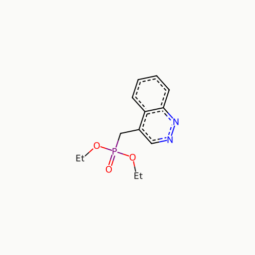 CCOP(=O)(Cc1cnnc2ccccc12)OCC